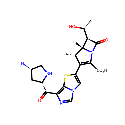 C[C@@H](O)[C@H]1C(=O)N2C(C(=O)O)=C(c3cn4cnc(C(=O)[C@@H]5C[C@H](N)CN5)c4s3)[C@H](C)[C@H]12